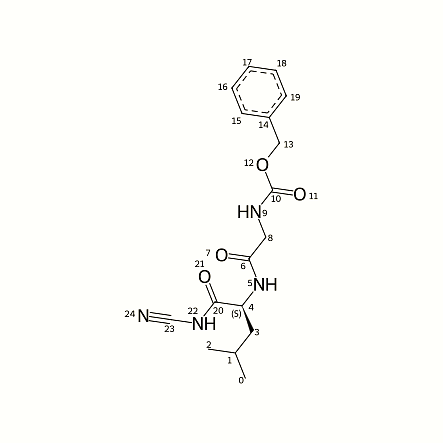 CC(C)C[C@H](NC(=O)CNC(=O)OCc1ccccc1)C(=O)NC#N